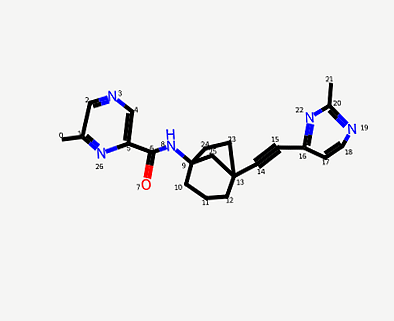 Cc1cncc(C(=O)NC23CCCC(C#Cc4ccnc(C)n4)(CC2)C3)n1